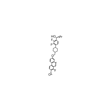 CCCC(O)c1ccc(C2CCC(COc3ccc(-c4ccc(C5CO5)c(F)c4F)c(F)c3)CC2)c(F)c1F